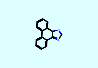 c1ccc2c(c1)C1=NCNC1c1ccccc1-2